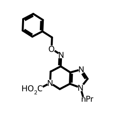 CCCn1cnc2c1CN(C(=O)O)CC2=NOCc1ccccc1